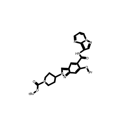 CC(C)Oc1cc2nn(C3CCN(C(=O)OC(C)(C)C)CC3)cc2cc1C(=O)Nc1cnn2cccnc12